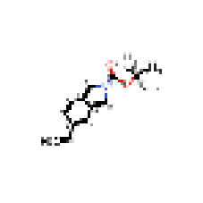 C=Cc1ccc2cn(C(=O)OC(C)(C)C)cc2c1